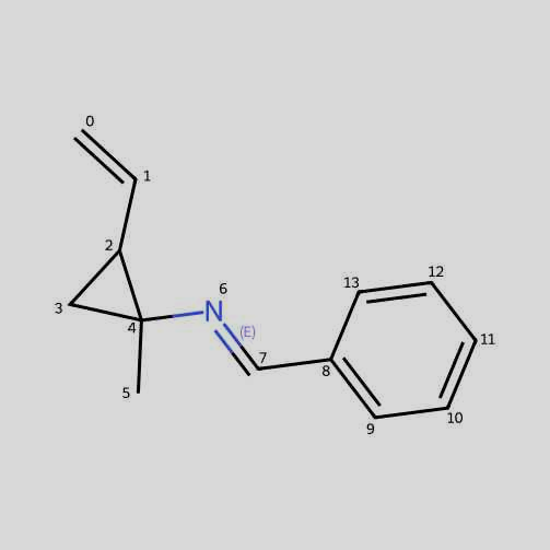 C=CC1CC1(C)/N=C/c1ccccc1